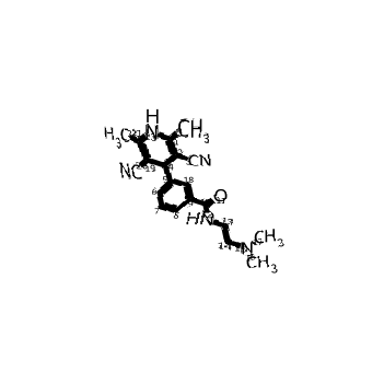 CC1=C(C#N)C(c2cccc(C(=O)NCCN(C)C)c2)C(C#N)=C(C)N1